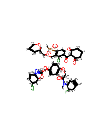 CS(=O)(=O)c1ccc(C(=O)C2C(=O)CCCC2=O)c(Cl)c1COCC1CCCO1.C[C@@H](Oc1ccc(Oc2nc3ccc(Cl)cc3o2)cc1)C(=O)N(C)c1ccccc1F